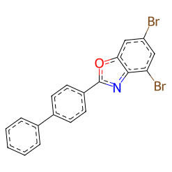 Brc1cc(Br)c2nc(-c3ccc(-c4ccccc4)cc3)oc2c1